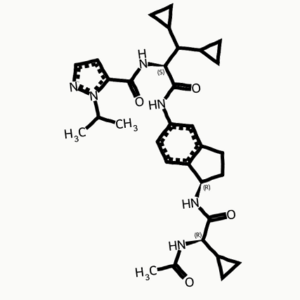 CC(=O)N[C@@H](C(=O)N[C@@H]1CCc2cc(NC(=O)[C@@H](NC(=O)c3ccnn3C(C)C)C(C3CC3)C3CC3)ccc21)C1CC1